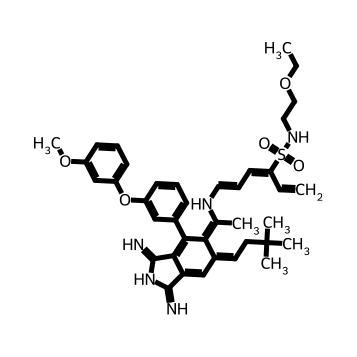 C=C/C(=C\C=C\N/C(C)=c1\c(-c2cccc(Oc3cccc(OC)c3)c2)c2c(c\c1=C\CC(C)(C)C)C(=N)NC2=N)S(=O)(=O)NCCOCC